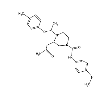 COc1ccc(NC(=O)N2CCN(C(C)Oc3ccc(C)cc3)C(CC(N)=O)C2)cc1